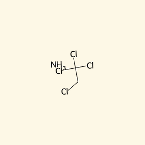 ClCC(Cl)(Cl)Cl.N